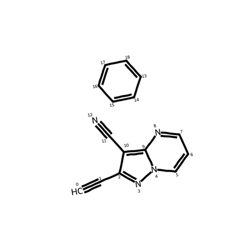 C#Cc1nn2cccnc2c1C#N.c1ccccc1